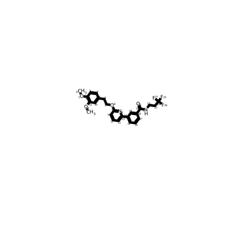 COc1ccc(CCOc2cccc(-c3cccc(C(=O)NCCC(F)(F)F)c3)n2)cc1OC